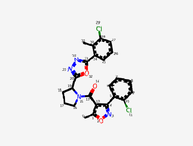 Cc1onc(-c2ccccc2Cl)c1C(=O)N1CCCC1c1nnc(-c2cccc(Cl)c2C)o1